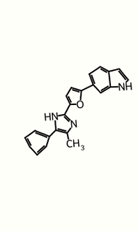 Cc1nc(-c2ccc(-c3ccc4cc[nH]c4c3)o2)[nH]c1-c1ccccc1